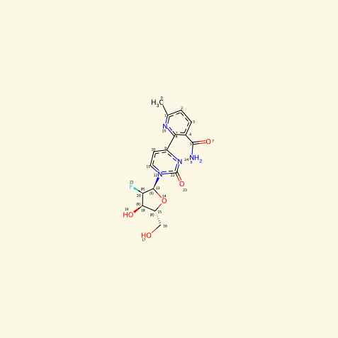 Cc1ccc(C(N)=O)c(-c2ccn([C@H]3O[C@H](CO)[C@@H](O)[C@H]3F)c(=O)n2)n1